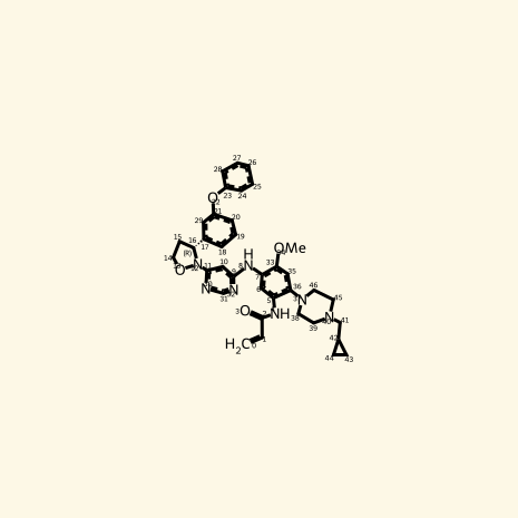 C=CC(=O)Nc1cc(Nc2cc(N3OCC[C@@H]3c3cccc(Oc4ccccc4)c3)ncn2)c(OC)cc1N1CCN(CC2CC2)CC1